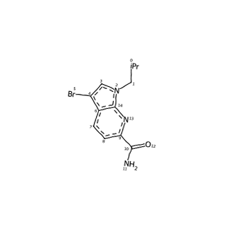 CC(C)Cn1cc(Br)c2ccc(C(N)=O)nc21